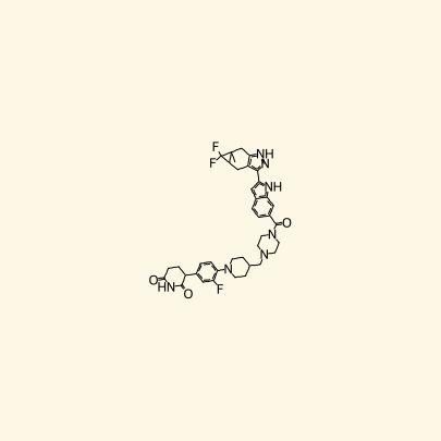 CC12Cc3[nH]nc(-c4cc5ccc(C(=O)N6CCN(CC7CCN(c8ccc(C9CCC(=O)NC9=O)cc8F)CC7)CC6)cc5[nH]4)c3CC1C2(F)F